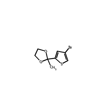 CC1(c2cc(Br)cs2)OCCO1